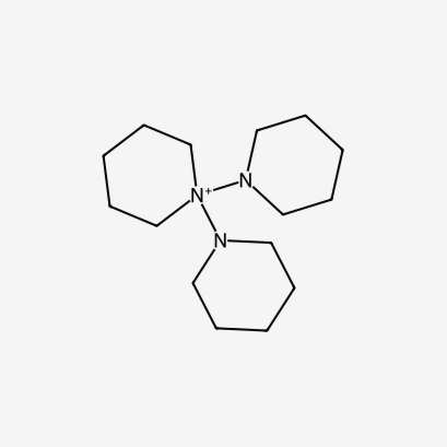 C1CCN([N+]2(N3CCCCC3)CCCCC2)CC1